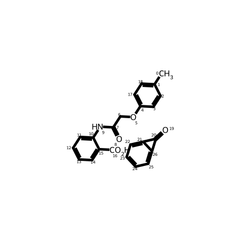 Cc1ccc(OCC(=O)Nc2ccccc2C(=O)O)cc1.O=c1c2ccccc12